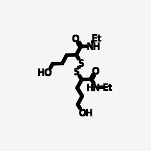 CCNC(=O)C(CCCO)SSC(CCCO)C(=O)NCC